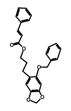 O=C(/C=C/c1ccccc1)OCCCc1cc2c(cc1OCc1ccccc1)OCO2